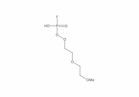 COCCOCCOOP(=O)(O)F